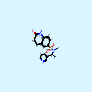 C[C@@H](c1cccnc1)N(C)S(=O)(=O)c1ccc2c(c1)CCC(=O)N2